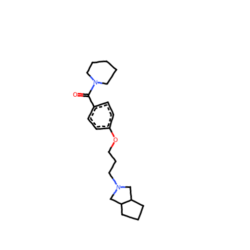 O=C(c1ccc(OCCCN2CC3CCCC3C2)cc1)N1CCCCC1